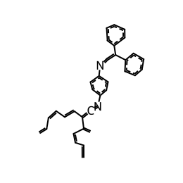 C=C/C=C\C=C\C(=C=Nc1ccc(N=C=C(c2ccccc2)c2ccccc2)cc1)C(=C)/C=C\C=C